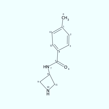 Cc1ccc(C(=O)NC2CNC2)cc1